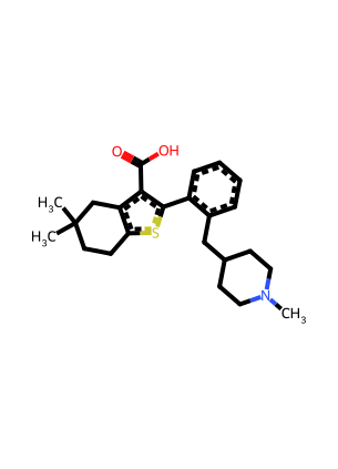 CN1CCC(Cc2ccccc2-c2sc3c(c2C(=O)O)CC(C)(C)CC3)CC1